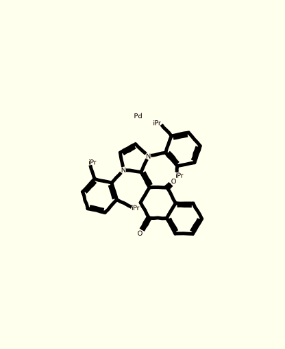 CC(C)c1cccc(C(C)C)c1N1C=CN(c2c(C(C)C)cccc2C(C)C)C1=C1CC(=O)c2ccccc2C1=O.[Pd]